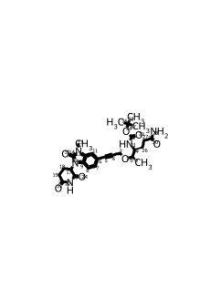 C[C@@H](OCC#Cc1ccc2c(c1)n(C)c(=O)n2C1CCC(=O)NC1=O)[C@H](CCC(N)=O)NC(=O)OC(C)(C)C